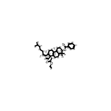 CCOC(=O)C[C@@]12C=C[C@H]([C@H](C)CCCC(C)C)[C@@]1(C)CCC1=C2CCC2C(C)(C)[C@@H](OC(=O)c3ccccc3)CC[C@]12C